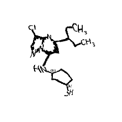 CCC(CC)c1cc(N[C@H]2CC[C@@H](S)C2)n2ncc(Cl)c2n1